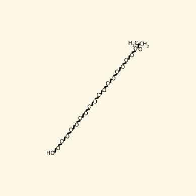 C=C(C)C(=O)OCCOCCOCCOCCOCCOCCOCCOCCOCCOCCOCCOCCOCCOCCOCCOCCOCCOCCO